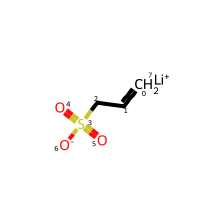 C=CCS(=O)(=O)[O-].[Li+]